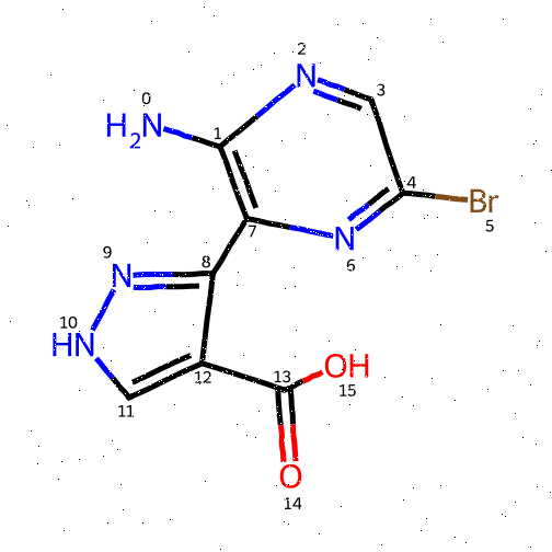 Nc1ncc(Br)nc1-c1n[nH]cc1C(=O)O